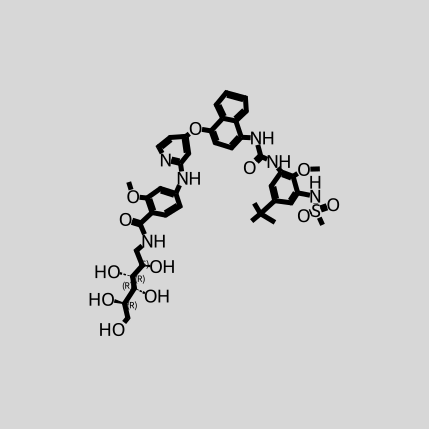 COc1cc(Nc2cc(Oc3ccc(NC(=O)Nc4cc(C(C)(C)C)cc(NS(C)(=O)=O)c4OC)c4ccccc34)ccn2)ccc1C(=O)NC[C@H](O)[C@@H](O)[C@H](O)[C@H](O)CO